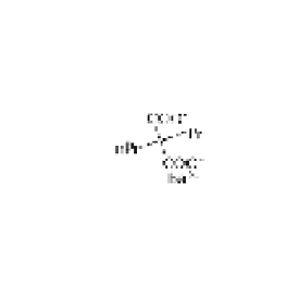 CCCC(CCC)(C(=O)[O-])C(=O)[O-].[Ba+2]